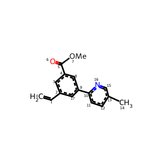 C=Cc1cc(C(=O)OC)cc(-c2ccc(C)cn2)c1